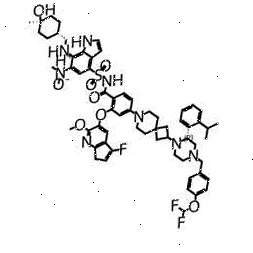 COc1nc2c(cc1Oc1cc(N3CCC4(CC3)CC(N3CCN(Cc5ccc(OC(F)F)cc5)C[C@H]3c3ccccc3C(C)C)C4)ccc1C(=O)NS(=O)(=O)c1cc([NH+](C)[O-])c(NC[C@H]3CC[C@](C)(O)CC3)c3[nH]ccc13)C(F)=CC2